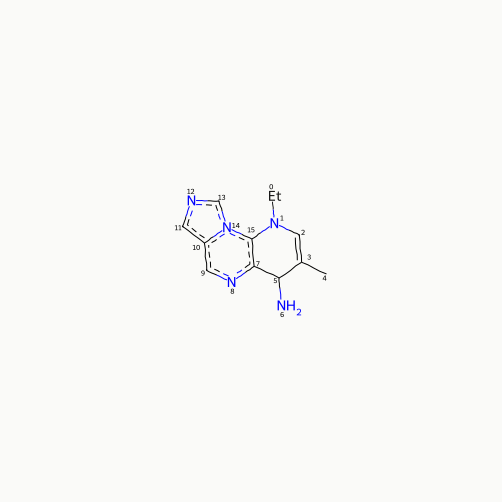 CCN1C=C(C)C(N)c2ncc3cncn3c21